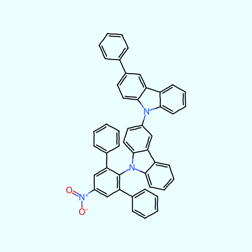 O=[N+]([O-])c1cc(-c2ccccc2)c(-n2c3ccccc3c3cc(-n4c5ccccc5c5cc(-c6ccccc6)ccc54)ccc32)c(-c2ccccc2)c1